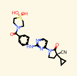 N#C[C@@]1(C2CC2)CCN(c2ccnc(Nc3ccc(C(=O)N4CCS(O)(O)CC4)cc3)n2)C1=O